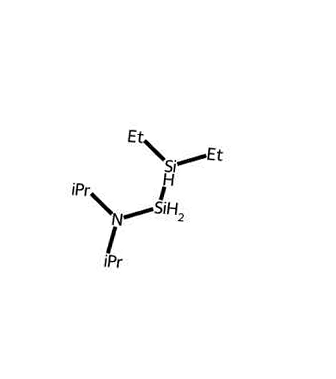 CC[SiH](CC)[SiH2]N(C(C)C)C(C)C